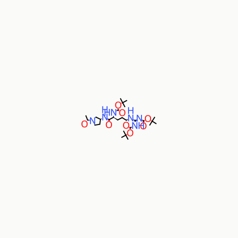 CC(=O)N1CC[C@@H](NC(=O)[C@H](CCCN/C(=N/C(=O)OC(C)(C)C)NC(=O)OC(C)(C)C)NC(=O)OC(C)(C)C)C1